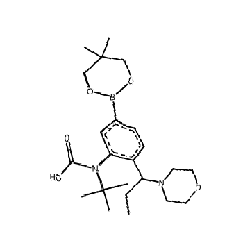 CCC(c1ccc(B2OCC(C)(C)CO2)cc1N(C(=O)O)C(C)(C)C)N1CCOCC1